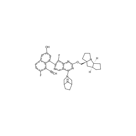 C#Cc1c(F)ccc2cc(O)cc(-c3ncc4c(N5CC6CCC(C5)N6)nc(OC[C@@]56CCCN5[C@H]5CCC[C@H]5C6)nc4c3F)c12